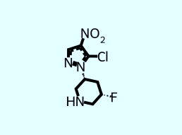 O=[N+]([O-])c1cnn([C@H]2CNC[C@@H](F)C2)c1Cl